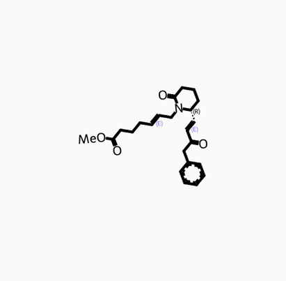 COC(=O)CCC/C=C/CN1C(=O)CCC[C@@H]1/C=C/C(=O)Cc1ccccc1